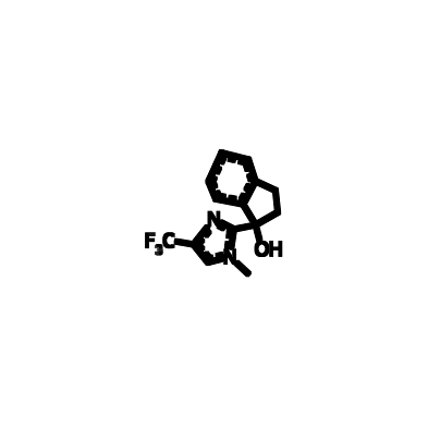 Cn1cc(C(F)(F)F)nc1C1(O)CCc2ccccc21